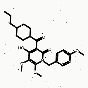 CCCC1CCC(C(=O)c2c(O)c(OC)c(OC)n(Cc3ccc(OC)cc3)c2=O)CC1